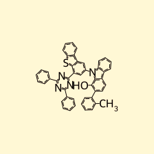 Cc1ccccc1-c1ccc2c3ccccc3n(-c3cc(-c4nc(-c5ccccc5)nc(-c5ccccc5)n4)c4sc5ccccc5c4c3)c2c1O